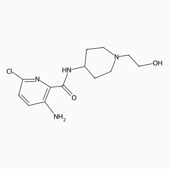 Nc1ccc(Cl)nc1C(=O)NC1CCN(CCO)CC1